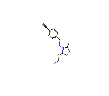 C#Cc1ccc(CCN2C(C)SCC2SCC)cc1